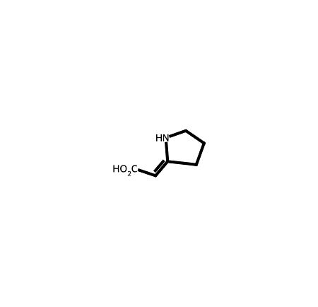 O=C(O)/C=C1/CCCN1